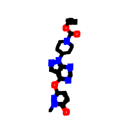 Cn1nc(Oc2ncnc3c2cnn3C2CCN(C(=O)OC(C)(C)C)CC2)ccc1=O